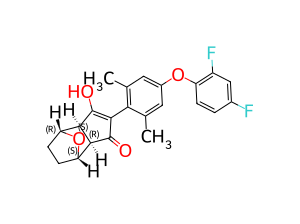 Cc1cc(Oc2ccc(F)cc2F)cc(C)c1C1=C(O)[C@H]2[C@@H](C1=O)[C@@H]1CC[C@H]2O1